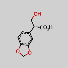 O=C(O)[C@@H](CO)c1ccc2c(c1)OCO2